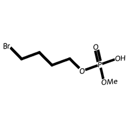 COP(=O)(O)OCCCCBr